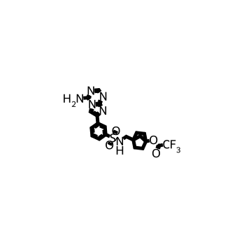 Nc1ncnc2nc(-c3cccc(S(=O)(=O)NCC45CCC(OC(=O)C(F)(F)F)(CC4)C5)c3)cn12